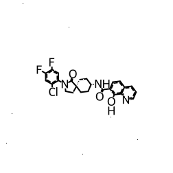 O=C(N[C@H]1CC[C@@]2(CCN(c3cc(F)c(F)cc3Cl)C2=O)CC1)c1ccc2cccnc2c1O